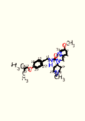 COc1ccc(CN(C(=O)NCc2ccc(OCC(C)C)cc2)C2CCN(C)CC2)nc1